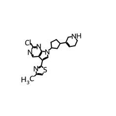 Cc1csc(-c2cn(C3CCC(C4=CCCNC4)C3)c3nc(Cl)ncc23)n1